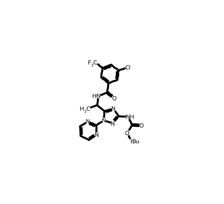 CC(NC(=O)c1cc(Cl)cc(C(F)(F)F)c1)c1nc(NC(=O)OC(C)(C)C)nn1-c1ncccn1